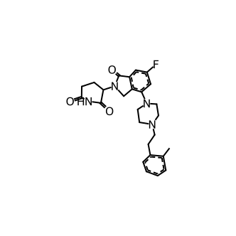 Cc1ccccc1CCN1CCN(c2cc(F)cc3c2CN(C2CCC(=O)NC2=O)C3=O)CC1